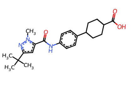 Cn1nc(C(C)(C)C)cc1C(=O)Nc1ccc(C2CCC(C(=O)O)CC2)cc1